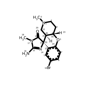 CN1CC[C@@H]2Oc3ccc(Br)cc3[C@@]3(N=C(N)N(C)C3=O)[C@H]2C1